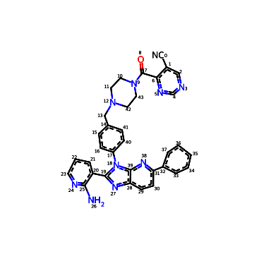 N#Cc1cncnc1C(=O)N1CCN(Cc2ccc(-n3c(-c4cccnc4N)nc4ccc(-c5ccccc5)nc43)cc2)CC1